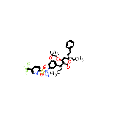 CCC[C@@]1(CCc2ccccc2)CC(OCC(C)=O)=C([C@H](CC)c2cccc(NS(=O)(=O)c3ccc(C(F)(F)F)cn3)c2)C(=O)O1